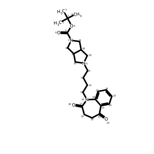 CC(C)(C)OC(=O)N1CC2CN(CCCCN3C(=O)CCC(=O)c4ccccc43)CC2C1